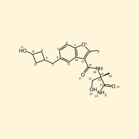 Cc1oc2ccc(CC3CC(O)C3)cc2c1C(=O)N[C@@](C)(CO)C(N)=O